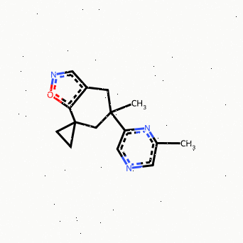 Cc1cncc(C2(C)Cc3cnoc3C3(CC3)C2)n1